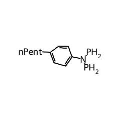 CCCCCc1ccc(N(P)P)cc1